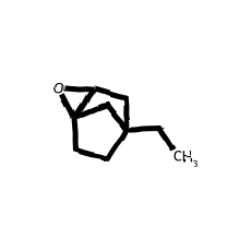 C[CH]C12CCC3(C1)OC3C2